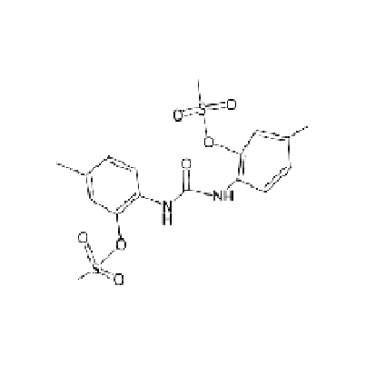 Cc1ccc(NC(=O)Nc2ccc(C)cc2OS(C)(=O)=O)c(OS(C)(=O)=O)c1